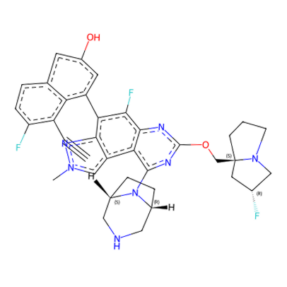 C#Cc1c(F)ccc2cc(O)cc(-c3c(F)c4nc(OC[C@@]56CCCN5C[C@H](F)C6)nc(N5[C@@H]6CC[C@H]5CNC6)c4c4cn(C)nc34)c12